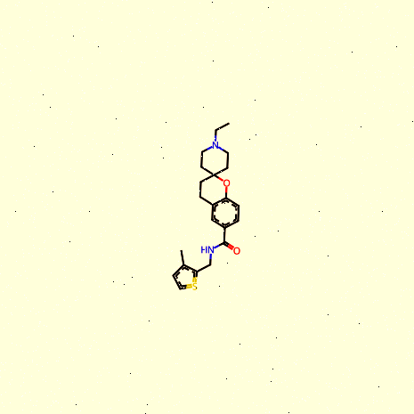 CCN1CCC2(CCc3cc(C(=O)NCc4sccc4C)ccc3O2)CC1